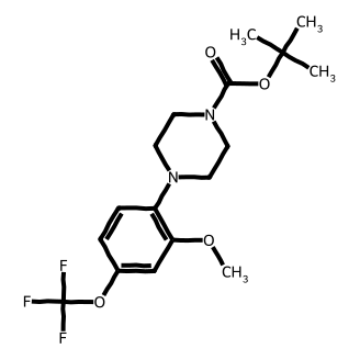 COc1cc(OC(F)(F)F)ccc1N1CCN(C(=O)OC(C)(C)C)CC1